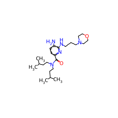 CC(C)CCN(CCC(C)C)C(=O)c1ccc(N)c(NCCCN2CCOCC2)n1